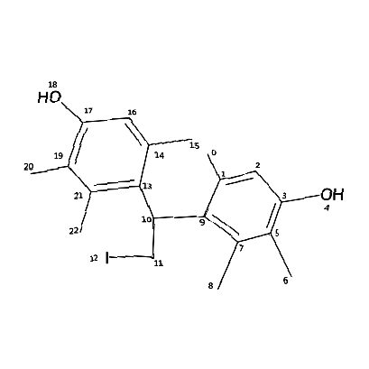 Cc1cc(O)c(C)c(C)c1C(CI)c1c(C)cc(O)c(C)c1C